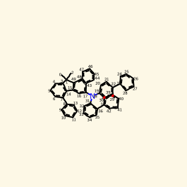 CC1(C)c2cccc(-c3ccccc3)c2-c2cc(N(c3ccc(-c4ccccc4)cc3)c3ccccc3-c3ccccc3)c3ccccc3c21